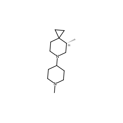 C[C@@H]1CN(C2CCN(C)CC2)CCC12CC2